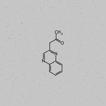 CC(=O)Cc1cnc2ccccc2n1